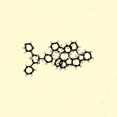 c1ccc(-c2nc(-c3ccccc3)nc(-c3cccc(-c4cccc5c6cccc(-n7c8ccccc8c8ccc9c%10ccccc%10n(-c%10ccccc%10)c9c87)c6n(-c6ccccc6)c45)c3)n2)cc1